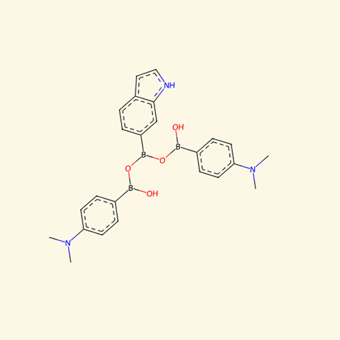 CN(C)c1ccc(B(O)OB(OB(O)c2ccc(N(C)C)cc2)c2ccc3cc[nH]c3c2)cc1